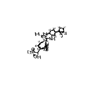 CCP(=O)(O)Cc1ccc(C(=O)Nc2cc(-c3cccs3)ccc2N)cn1